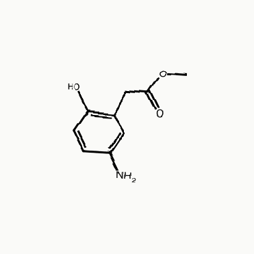 COC(=O)Cc1cc(N)ccc1O